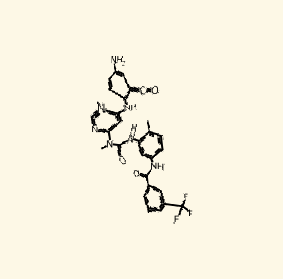 Cc1ccc(NC(=O)c2cccc(C(F)(F)F)c2)cc1NC(=O)N(C)c1cc(NC2C=CC(N)=CC2=C=O)ncn1